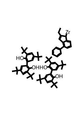 CC(C)(C)c1cc(-c2cc(C(C)(C)C)cc(C(C)(C)C)c2O)c(O)c(C(C)(C)C)c1.CC(C)(C)c1cc(-c2cc(C(C)(C)C)cc(C(C)(C)C)c2O)c(O)c(C(C)(C)C)c1.CCC1=Cc2c(-c3ccccc3)cccc2[CH]1[Zr]